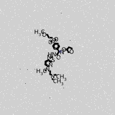 CCN(CC)CCN(C)c1ccc2nc(NC(=O)/C(=N/O[C@@H]3CCOC3)c3ccc(S(=O)(=O)CCCOC)cc3)sc2n1